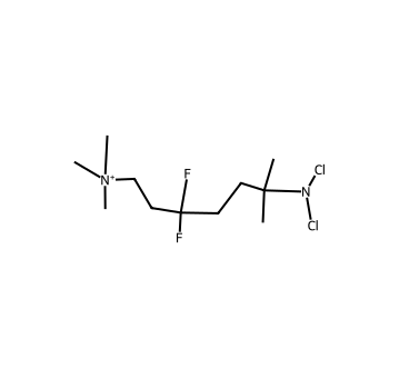 CC(C)(CCC(F)(F)CC[N+](C)(C)C)N(Cl)Cl